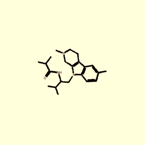 Cc1ccc2c(c1)c1c(n2CC(NC(=O)C(C)C)C(C)C)CN(C)CC1